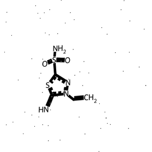 C=Cn1nc(S(N)(=O)=O)sc1=N